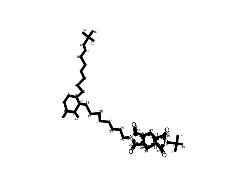 CC1CCC(CCCCCCCCC(C)(C)C)C(CCCCCCCCn2c(=O)c3cc4c(=O)n(C(C)(C)C)c(=O)c4cc3c2=O)C1C